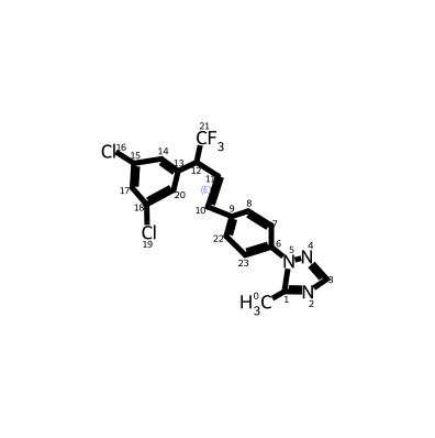 Cc1ncnn1-c1ccc(/C=C/C(c2cc(Cl)cc(Cl)c2)C(F)(F)F)cc1